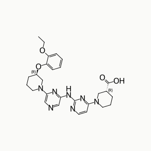 CCOc1ccccc1O[C@@H]1CCCN(c2cncc(Nc3nccc(N4CCC[C@@H](C(=O)O)C4)n3)n2)C1